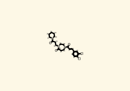 O=C(/C=C/c1ccc(Cl)c(Cl)c1)N1CCC(=O)N(CCC(=O)N2CCCCC2)CC1